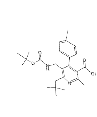 Cc1ccc(-c2c(CNC(=O)OC(C)(C)C)c(CC(C)(C)C)nc(C)c2C(=O)O)cc1